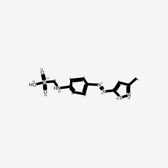 Cc1cc(/N=N/c2ccc(NCS(=O)(=O)O)cc2)sn1